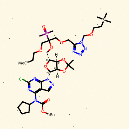 COCCOCC(COCc1nnnn1COCC[Si](C)(C)C)(OC[C@H]1O[C@@H](n2ncc3c(N(C(=O)OC(C)(C)C)C4CCCC4)nc(Cl)nc32)[C@@H]2OC(C)(C)O[C@@H]21)P(C)(C)=O